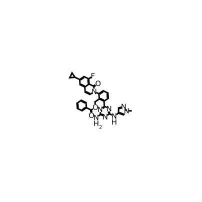 Cn1cc(Nc2nc(N)nc(-c3cccc(-n4ccc5cc(C6CC6)cc(F)c5c4=O)c3COC(=O)c3ccccc3)n2)cn1